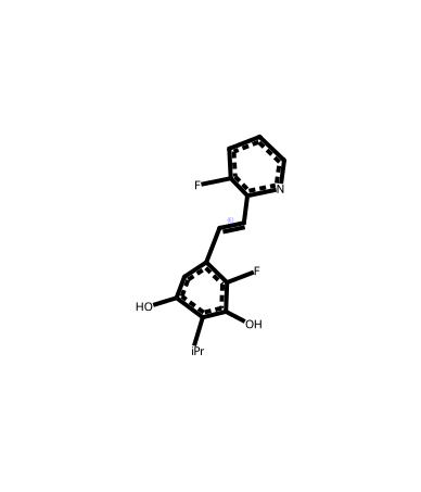 CC(C)c1c(O)cc(/C=C/c2ncccc2F)c(F)c1O